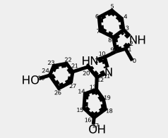 Cc1[nH]c2ccccc2c1-c1nc(-c2ccc(O)cc2)c(-c2ccc(O)cc2)[nH]1